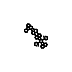 c1ccc(-c2c3c4cccc5cccc(c3c(-c3ccccn3)c3c6ccc7c8ccc9c%10c(ccc(c%11ccc(c23)c6c%117)c8%10)c2cc3cccc6c7ccccc7c(c36)c29)c54)nc1